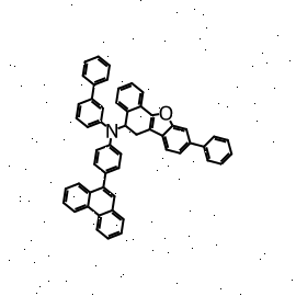 c1ccc(-c2cccc(N(c3ccc(-c4cc5ccccc5c5ccccc45)cc3)C3Cc4c(oc5cc(-c6ccccc6)ccc45)-c4ccccc43)c2)cc1